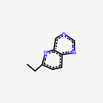 CCc1ccc2ncncc2n1